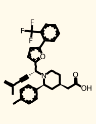 C=C(C)C#C[C@H](c1ccc(-c2ccccc2C(F)(F)F)o1)N1CC[C@@H](CC(=O)O)C[C@H]1c1ccc(C)cc1